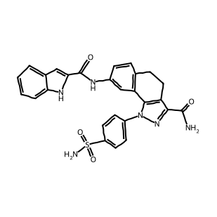 NC(=O)c1nn(-c2ccc(S(N)(=O)=O)cc2)c2c1CCc1ccc(NC(=O)c3cc4ccccc4[nH]3)cc1-2